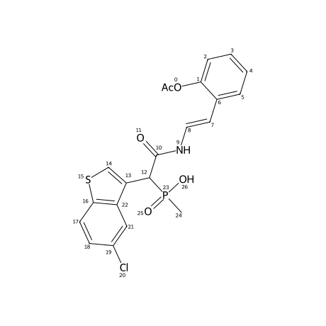 CC(=O)Oc1ccccc1C=CNC(=O)C(c1csc2ccc(Cl)cc12)P(C)(=O)O